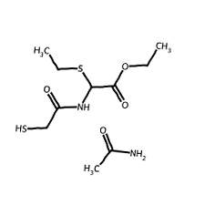 CC(N)=O.CCOC(=O)C(NC(=O)CS)SCC